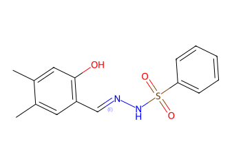 Cc1cc(O)c(/C=N/NS(=O)(=O)c2ccccc2)cc1C